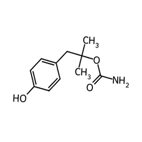 CC(C)(Cc1ccc(O)cc1)OC(N)=O